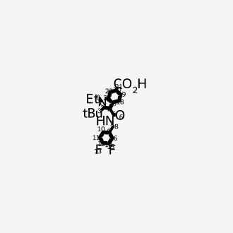 CCn1c(C(C)(C)C)c(C(=O)NCc2ccc(F)c(F)c2)c2ccc(C(=O)O)cc21